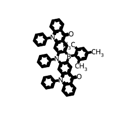 Cc1cc(C)c(B2c3cc4c(=O)c5ccccc5n(-c5ccccc5)c4cc3N(c3ccccc3)c3cc4c(cc32)c(=O)c2ccccc2n4-c2ccccc2)c(C)c1